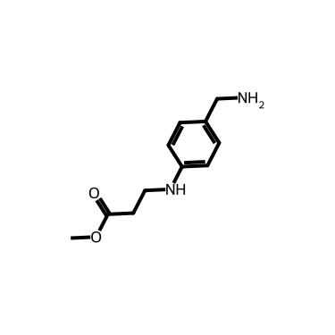 COC(=O)CCNc1ccc(CN)cc1